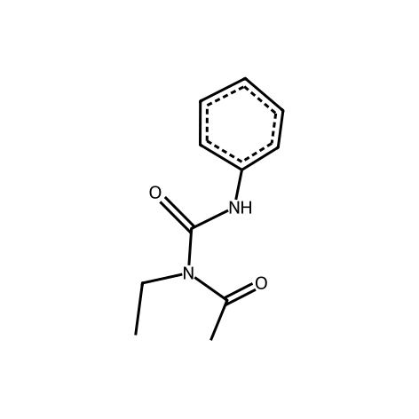 CCN(C(C)=O)C(=O)Nc1ccccc1